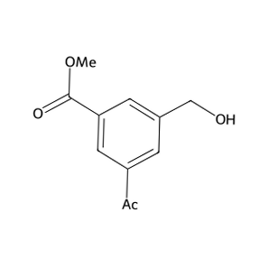 COC(=O)c1cc(CO)cc(C(C)=O)c1